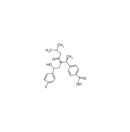 CC(C)CC(=O)N(CC(O)c1ccc(F)cc1)[C@@H](C)c1ccc(C(=O)O)cc1